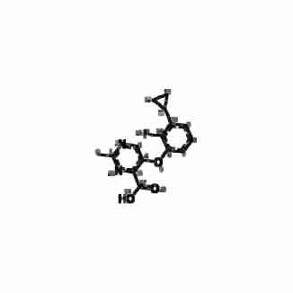 Cc1ncc(Oc2cccc(C3CC3)c2F)c(C(=O)O)n1